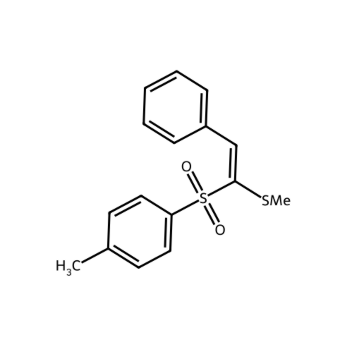 CSC(=Cc1ccccc1)S(=O)(=O)c1ccc(C)cc1